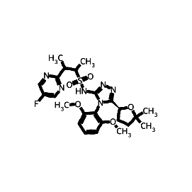 COc1cccc(OC)c1-n1c(NS(=O)(=O)C(C)C(C)c2ncc(F)cn2)nnc1[C@@H]1CCC(C)(C)O1